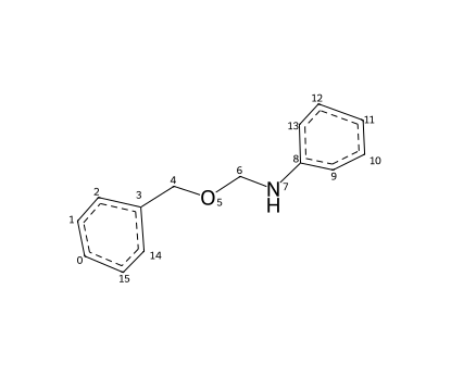 c1ccc(COCNc2ccccc2)cc1